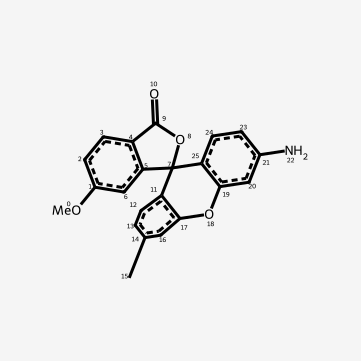 COc1ccc2c(c1)C1(OC2=O)c2ccc(C)cc2Oc2cc(N)ccc21